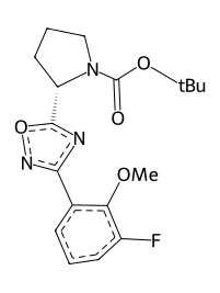 COc1c(F)cccc1-c1noc([C@@H]2CCCN2C(=O)OC(C)(C)C)n1